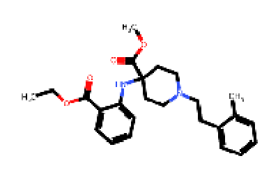 CCOC(=O)c1ccccc1NC1(C(=O)OC)CCN(CCc2ccccc2C)CC1